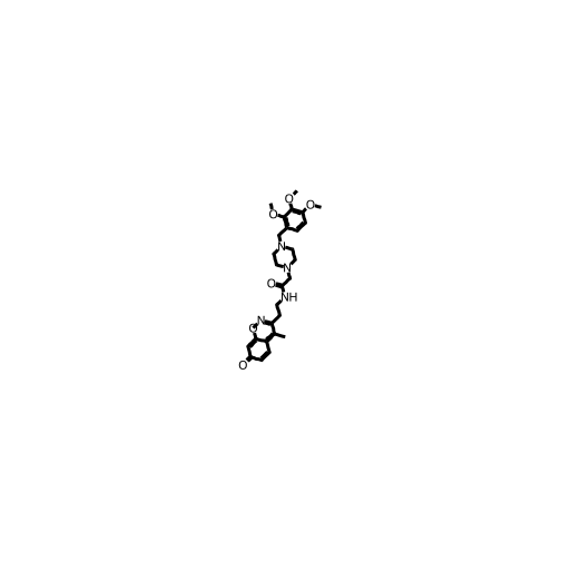 COc1ccc(CN2CCN(CC(=O)NCCc3noc4cc(=O)ccc-4c3C)CC2)c(OC)c1OC